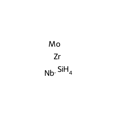 [Mo].[Nb].[SiH4].[Zr]